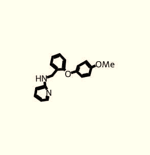 COc1ccc(Oc2ccccc2CNc2ccccn2)cc1